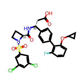 O=C(O)C[C@@H](NC(=O)[C@@H]1CCN1S(=O)(=O)c1cc(Cl)cc(Cl)c1)c1ccc(-c2c(F)cccc2OC2CC2)cc1